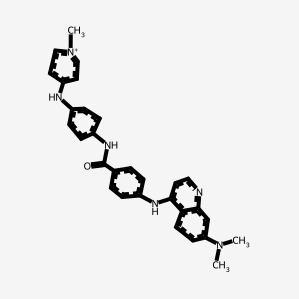 CN(C)c1ccc2c(Nc3ccc(C(=O)Nc4ccc(Nc5cc[n+](C)cc5)cc4)cc3)ccnc2c1